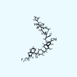 Cc1c(CN2CCC(Nc3ncnc4sc(CC(F)(F)F)cc34)CC2)ccc2c1cc(C#N)n2CC(C)N1CCN(S(=O)(=O)NCC2CCC2)CC1